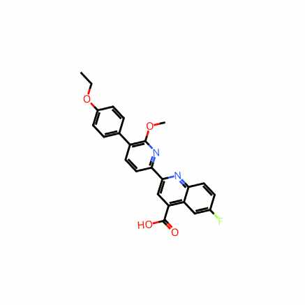 CCOc1ccc(-c2ccc(-c3cc(C(=O)O)c4cc(F)ccc4n3)nc2OC)cc1